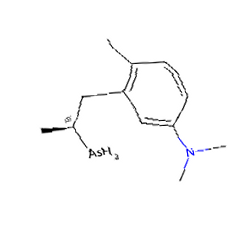 Cc1ccc(N(C)C)cc1C[C@H](C)[AsH2]